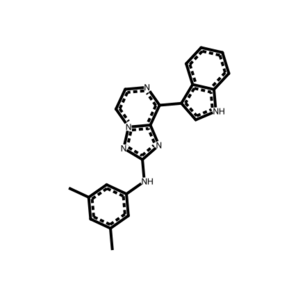 Cc1cc(C)cc(Nc2nc3c(-c4c[nH]c5ccccc45)nccn3n2)c1